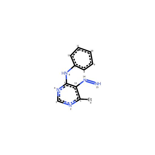 CCc1ncnc(Nc2ccccc2)c1N=N